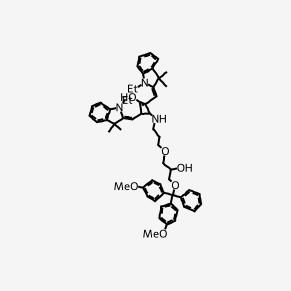 CCN1C(=CC2=C(O)C(C=C3N(CC)c4ccccc4C3(C)C)C2NCCCOCC(O)COC(c2ccccc2)(c2ccc(OC)cc2)c2ccc(OC)cc2)C(C)(C)c2ccccc21